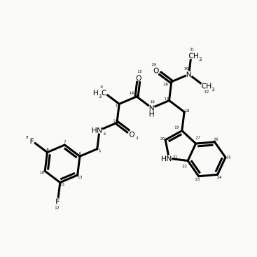 CC(C(=O)NCc1cc(F)cc(F)c1)C(=O)NC(Cc1c[nH]c2ccccc12)C(=O)N(C)C